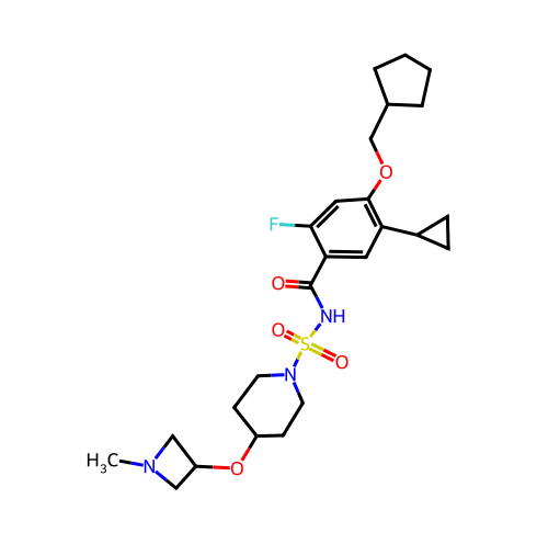 CN1CC(OC2CCN(S(=O)(=O)NC(=O)c3cc(C4CC4)c(OCC4CCCC4)cc3F)CC2)C1